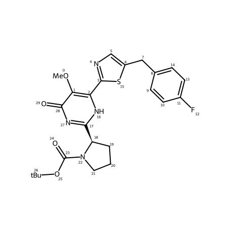 COc1c(-c2ncc(Cc3ccc(F)cc3)s2)[nH]c([C@H]2CCCN2C(=O)OC(C)(C)C)nc1=O